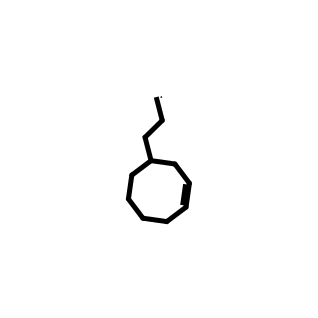 [CH2]CCC1C/C=C\CCCC1